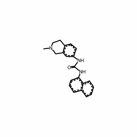 CN1CCc2ccc(NC(=O)Nc3cccc4ccccc34)cc2C1